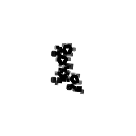 CN(C(=O)c1ccc(Nc2ncc([N+](=O)[O-])c(N[C@@H]3CCC[C@@H]3C(N)=O)n2)cc1)c1ccccc1